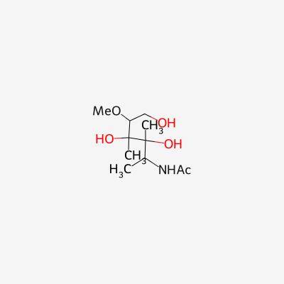 COC(CO)C(C)(O)C(C)(O)C(C)NC(C)=O